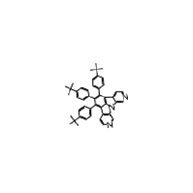 CC(C)(C)c1ccc(-c2c(-c3ccc(C(C)(C)C)cc3)c3c4ccncc4n4c5cnccc5c(c2-c2ccc(C(C)(C)C)cc2)c34)cc1